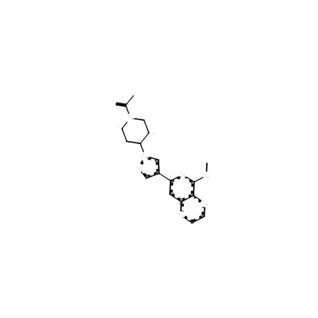 CNc1nc(-c2cnn(C3CCN(C(C)=O)CC3)c2)cc2nccnc12